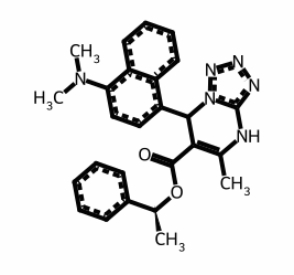 CC1=C(C(=O)O[C@@H](C)c2ccccc2)C(c2ccc(N(C)C)c3ccccc23)n2nnnc2N1